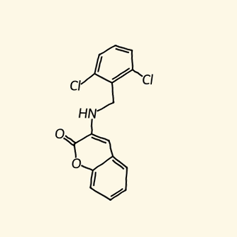 O=c1oc2ccccc2cc1NCc1c(Cl)cccc1Cl